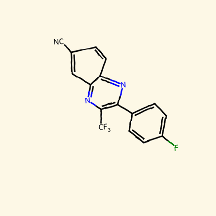 N#Cc1ccc2nc(-c3ccc(F)cc3)c(C(F)(F)F)nc2c1